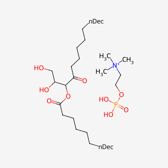 CCCCCCCCCCCCCCCC(=O)OC(C(=O)CCCCCCCCCCCCCCC)C(O)CO.C[N+](C)(C)CCOP(=O)(O)O